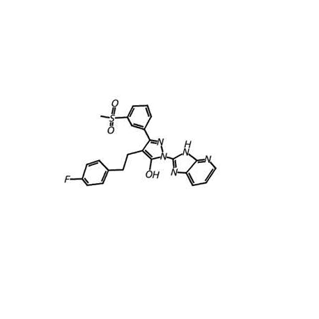 CS(=O)(=O)c1cccc(-c2nn(-c3nc4cccnc4[nH]3)c(O)c2CCc2ccc(F)cc2)c1